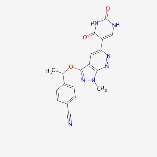 CC(Oc1nn(C)c2nnc(-c3c[nH]c(=O)[nH]c3=O)cc12)c1ccc(C#N)cc1